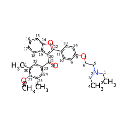 CCN(CC)CCOc1ccc(-c2oc3ccccc3c2C(=O)c2cc(C)c(OC)c(C)c2)cc1